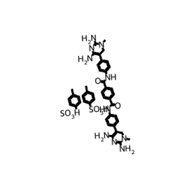 CN1CC(c2ccc(NC(=O)c3ccc(C(=O)Nc4ccc(C5=C(N)N=C(N)N(C)C5)cc4)cc3)cc2)=C(N)N=C1N.Cc1ccc(S(=O)(=O)O)cc1.Cc1ccc(S(=O)(=O)O)cc1